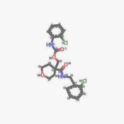 O=C(Nc1ccccc1Cl)OCC1(C(=O)NCc2ccccc2Cl)CCOCC1